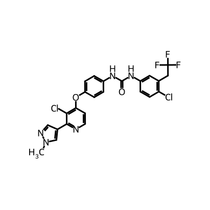 Cn1cc(-c2nccc(Oc3ccc(NC(=O)Nc4ccc(Cl)c(CC(F)(F)F)c4)cc3)c2Cl)cn1